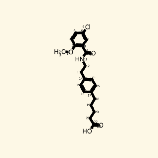 COc1ccc(Cl)cc1C(=O)NCCc1ccc(CCCCC(=O)O)cc1